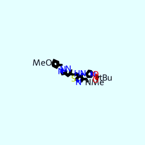 CNCc1cnc2sc(-c3cnc4c(cnn4Cc4ccc(OC)cc4)c3)cc2c1NC1CCN(OC(=O)C(C)(C)C)CC1